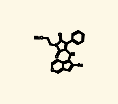 COCCN1C(=O)C(Nc2c(C(C)=O)cc3coccc2-3)=C(c2ccccc2)C1=O